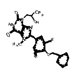 Cn1c(-c2cc(F)c(OCc3ccccc3)c(F)c2)nc2c1c(=O)[nH]c(=O)n2CC(O)C(F)(F)F